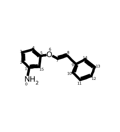 Nc1cccc(OC=Cc2ccccc2)c1